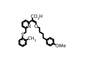 COc1ccc(CCCCOC=C(C(=O)O)c2cccc(CSc3ccccc3C)n2)cc1